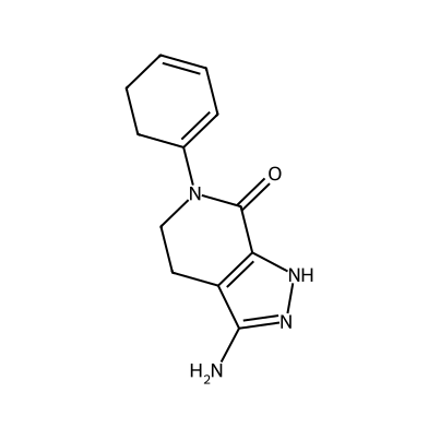 Nc1n[nH]c2c1CCN(C1=CC=CCC1)C2=O